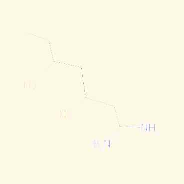 CCC(S)CC(S)CC(N)N